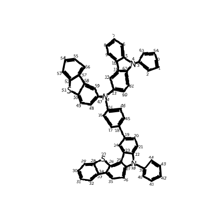 c1ccc(-n2c3ccccc3c3cc(N(c4ccc(-c5ccc6c(c5)c5c7sc8ccccc8c7ccc5n6-c5ccccc5)cc4)c4ccc5sc6ccccc6c5c4)ccc32)cc1